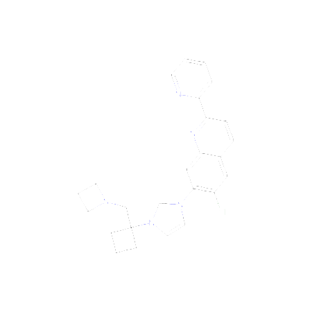 Clc1cc2ccc(-c3ccccn3)nc2cc1N1C=CN(C2(CN3CCC3)CCC2)C1